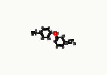 CC(C)c1ccc(Oc2cccc(C(F)(F)F)c2)cc1